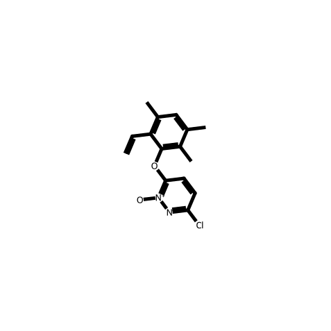 C=Cc1c(C)cc(C)c(C)c1Oc1ccc(Cl)n[n+]1[O-]